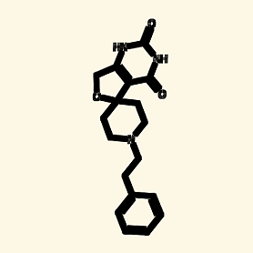 O=c1[nH]c2c(c(=O)[nH]1)C1(CCN(CCc3ccccc3)CC1)OC2